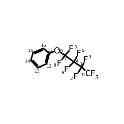 FC(F)(F)C(F)(F)C(F)(F)C(F)(F)Oc1c[c]ccc1